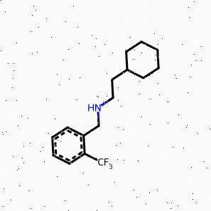 FC(F)(F)c1ccccc1CNCCC1CCCCC1